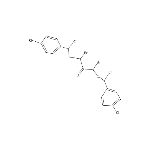 O=C(C(Br)CC(Cl)c1ccc(Cl)cc1)C(Br)CC(Cl)c1ccc(Cl)cc1